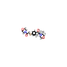 CC(C)(C(=O)c1ccc(SCC(=O)N2CCOCC2)cc1)N1CCOCC1